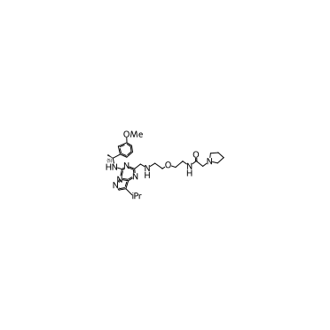 COc1cccc([C@H](C)Nc2nc(CNCCOCCNC(=O)CN3CCCC3)nc3c(C(C)C)cnn23)c1